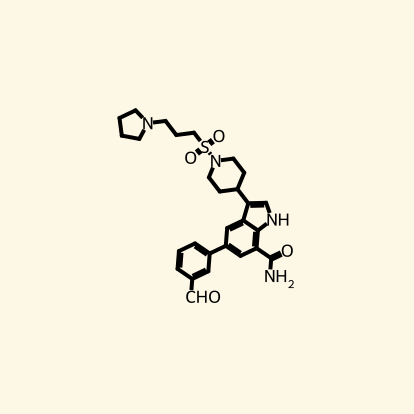 NC(=O)c1cc(-c2cccc(C=O)c2)cc2c(C3CCN(S(=O)(=O)CCCN4CCCC4)CC3)c[nH]c12